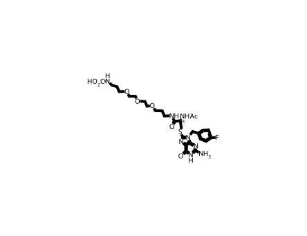 CC(=O)N[C@@H](CSc1nc2c(=O)[nH]c(N)nc2n1Cc1ccc(F)cc1)C(=O)NCCCOCCOCCOCCCNC(=O)O